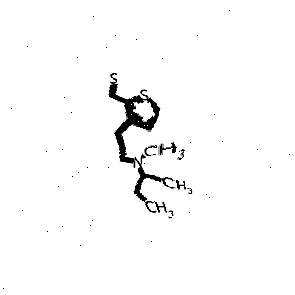 CCC(C)N(C)/C=C\c1ccsc1C=S